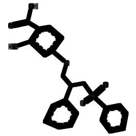 O=C(O)c1ccc(OCC(CS(=O)(=O)c2ccccc2)c2ccccc2)cc1O